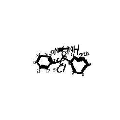 N#CN.O=P(Cl)(c1ccccc1)c1ccccc1